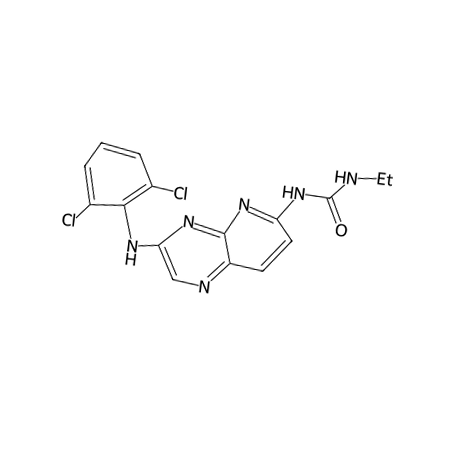 CCNC(=O)Nc1ccc2ncc(Nc3c(Cl)cccc3Cl)nc2n1